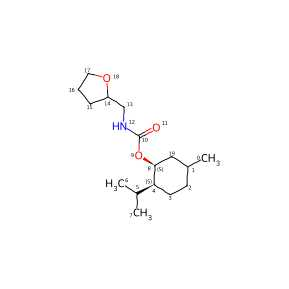 CC1CC[C@@H](C(C)C)[C@@H](OC(=O)NCC2CCCO2)C1